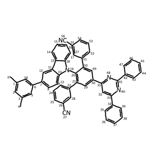 Cc1cc(C)cc(-c2ccc3c(c2)c2ccccc2n3-c2c(-c3cccc(C#N)c3)cc(-c3cc(-c4ccccc4)nc(-c4ccccc4)n3)cc2-c2cccc(C#N)c2)c1